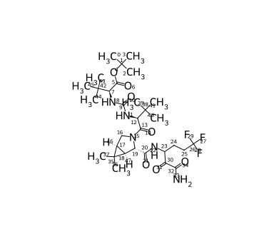 CC(C)(C)OC(=O)[C@@H](NC(=O)N[C@H](C(=O)N1C[C@H]2[C@@H]([C@H]1C(=O)NC(CCC(F)(F)F)C(=O)C(N)=O)C2(C)C)C(C)(C)C)C(C)(C)C